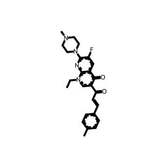 CCn1cc(C(=O)C=Cc2ccc(C)cc2)c(=O)c2cc(F)c(N3CCN(C)CC3)nc21